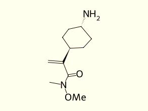 C=C(C(=O)N(C)OC)[C@H]1CC[C@H](N)CC1